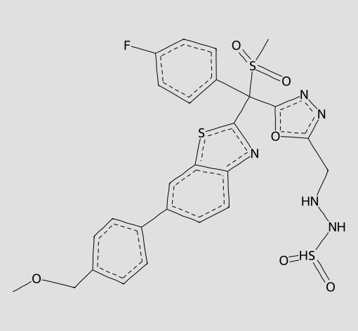 COCc1ccc(-c2ccc3nc(C(c4ccc(F)cc4)(c4nnc(CNN[SH](=O)=O)o4)S(C)(=O)=O)sc3c2)cc1